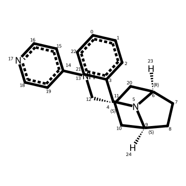 c1ccc(CN2[C@@H]3CC[C@H]2C[C@H](CNc2ccncc2)C3)cc1